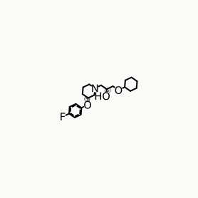 O[C@H](COC1CCCCC1)CN1CCC[C@H](Oc2ccc(F)cc2)C1